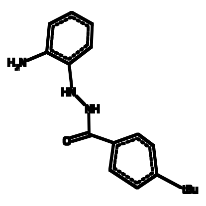 CC(C)(C)c1ccc(C(=O)NNc2ccccc2N)cc1